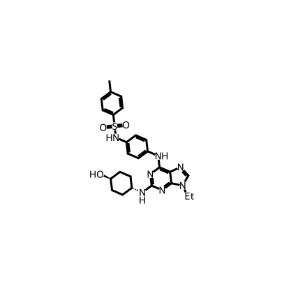 CCn1cnc2c(Nc3ccc(NS(=O)(=O)c4ccc(C)cc4)cc3)nc(N[C@H]3CC[C@H](O)CC3)nc21